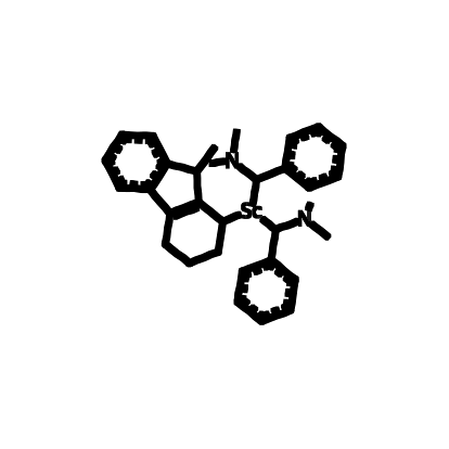 CC1C2=C(CCC[CH]2[Sc]([CH](c2ccccc2)N(C)C)[CH](c2ccccc2)N(C)C)c2ccccc21